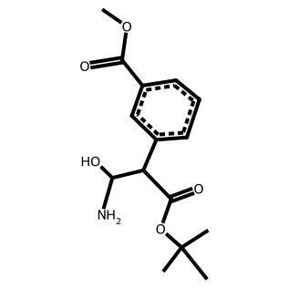 COC(=O)c1cccc(C(C(=O)OC(C)(C)C)C(N)O)c1